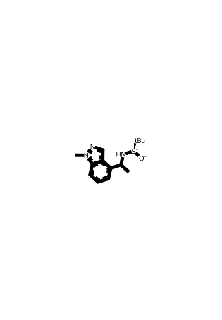 CC(N[S@+]([O-])C(C)(C)C)c1cccc2c1cnn2C